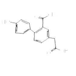 CC(=O)c1cc(CC(=O)O)ccc1-c1ccc(O)cc1